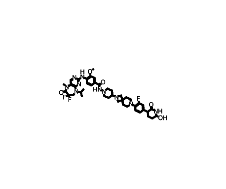 COc1cc(C(=O)NN2CCC(N3CC4(CCN(c5ccc(C6CCC(O)NC6=O)cc5F)CC4)C3)CC2)ccc1Nc1ncc2c(n1)N(C(C)C)CC(F)(F)C(=O)N2C